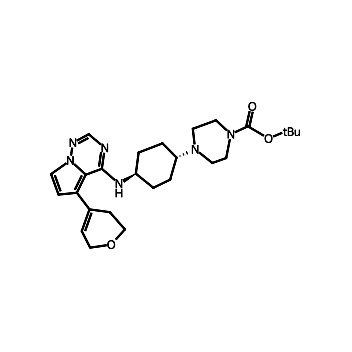 CC(C)(C)OC(=O)N1CCN([C@H]2CC[C@H](Nc3ncnn4ccc(C5=CCOCC5)c34)CC2)CC1